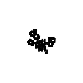 Nc1nc(-c2ccccc2)c(-c2ccc3ncccc3c2)nc1NCC1CCc2cccnc21